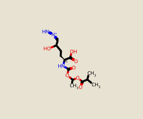 CC(OC(=O)N[C@@H](CCC(O)C=[N+]=N)C(=O)O)OC(=O)C(C)C